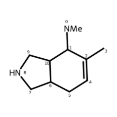 CNC1C(C)=CCC2CNCC21